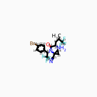 CC(C[C@H](N)C(=O)N([C@@H](c1ccc(Br)cc1)C(F)(F)F)C1(C#N)CC1)C(F)(F)F